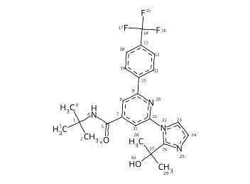 CC(C)(C)NC(=O)c1cc(-c2ccc(C(F)(F)F)cc2)nc(-n2ccnc2C(C)(C)O)c1